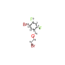 Fc1cc(F)c(COCCBr)cc1Br